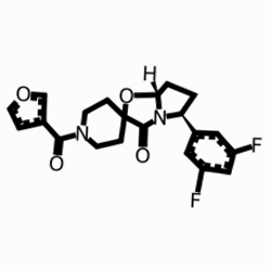 O=C(c1ccoc1)N1CCC2(CC1)O[C@@H]1CC[C@@H](c3cc(F)cc(F)c3)N1C2=O